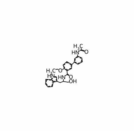 CCOc1ccc(-c2cccc(NC(C)=O)c2)cc1C(=O)NC(CO)Cc1c[nH]c2ccccc12